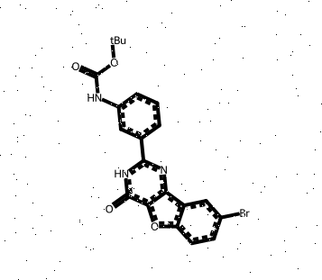 CC(C)(C)OC(=O)Nc1cccc(-c2nc3c(oc4ccc(Br)cc43)c(=O)[nH]2)c1